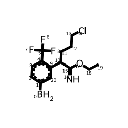 Bc1ccc(C(F)(F)F)c(C(CCCCl)C(=N)OCC)c1